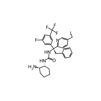 N[C@@H]1CCCC[C@H]1NC(=O)N[C@](Cc1ccccc1)(c1cc(F)cc(C(F)(F)F)c1)c1ccc(CI)cn1